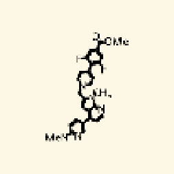 CNc1ccc(-c2ccnc3c2cc(CN2CC=C(c4c(F)cc(C(=O)OC)cc4F)CC2)n3C)cn1